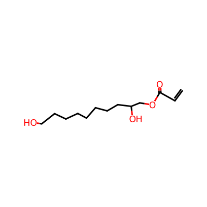 C=CC(=O)OCC(O)CCCCCCCCO